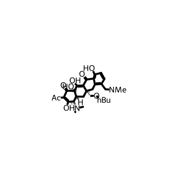 CCCCOC[C@@]12Cc3c(CNC)ccc(O)c3C(=O)C1=C(O)[C@]1(O)C(=O)C(C(C)=O)=C(O)[C@@H](N(C)C)[C@@H]1C2